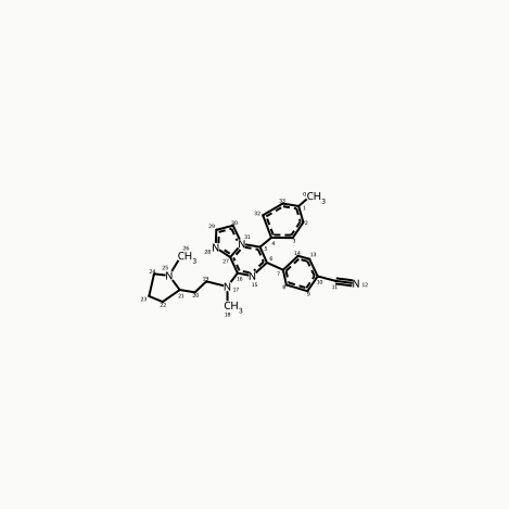 Cc1ccc(-c2c(-c3ccc(C#N)cc3)nc(N(C)CCC3CCCN3C)c3nccn23)cc1